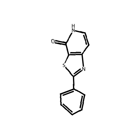 O=c1[nH]ccc2nc(-c3ccccc3)sc12